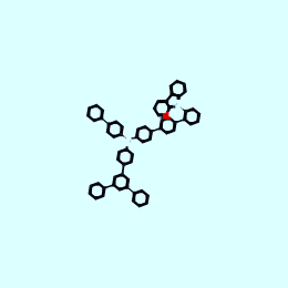 c1ccc(-c2ccc(N(c3ccc(-c4ccc(-c5ccccc5-n5c6ccccc6c6ccccc65)cc4)cc3)c3ccc(-c4cc(-c5ccccc5)cc(-c5ccccc5)c4)cc3)cc2)cc1